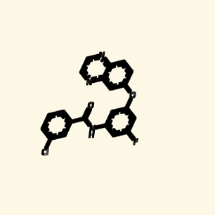 O=C(Nc1cc(F)cc(Oc2ccc3nccnc3c2)c1)c1cccc(Cl)c1